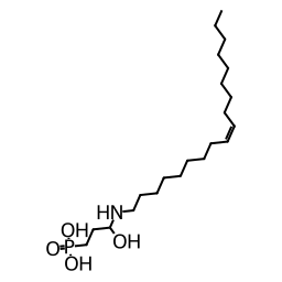 CCCCCCCC/C=C\CCCCCCCCNC(O)CCP(=O)(O)O